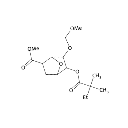 CCC(C)(C)C(=O)OC1C2CC(C(=O)OC)C(O2)C1OCOC